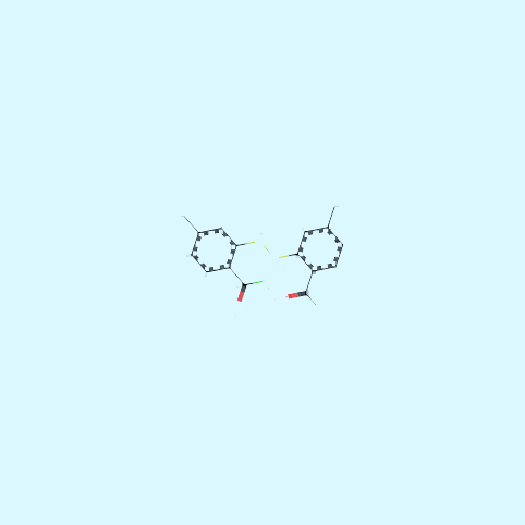 Cc1ccc(C(=O)Cl)c(SSc2cc(C)ccc2C(=O)Cl)c1